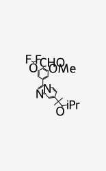 COc1cc(-c2cnc3cc(C(C)(C)C(=O)C(C)C)ccn23)cc(OC(F)F)c1C=O